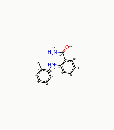 Cc1ccccc1Nc1ccccc1C(N)=O